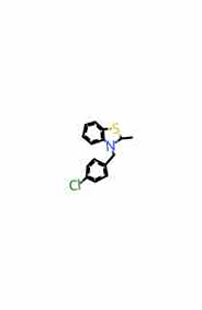 CC1Sc2ccccc2N1Cc1ccc(Cl)cc1